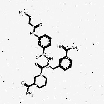 N=C(N)c1cccc(C[C@H](N[S+]([O-])c2cccc(NC(=O)CCN)c2)C(=O)N2CCCC(C(N)=O)C2)c1